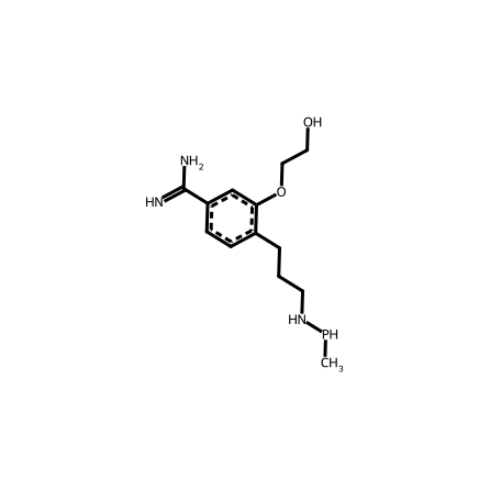 CPNCCCc1ccc(C(=N)N)cc1OCCO